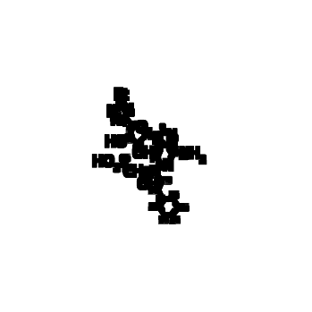 CCn1nnc([C@H]2O[C@@H](n3cnc4c(N)nc(N(CO)CCc5ccccc5)nc43)[C@H](O)[C@@H]2O)n1.CS(=O)(=O)O